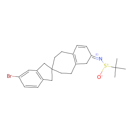 CC(C)(C)[S+]([O-])/N=C1/C=CC2=C(CCC3(CC2)Cc2ccc(Br)cc2C3)C1